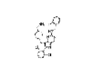 NCC1CCC(Cn2c(-c3c(Cl)cccc3Cl)nc3cnc(NCc4ccccc4F)nc32)CC1